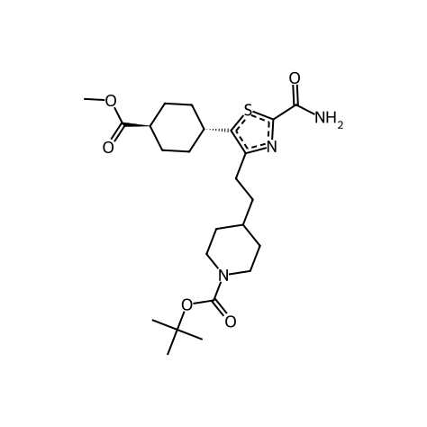 COC(=O)[C@H]1CC[C@H](c2sc(C(N)=O)nc2CCC2CCN(C(=O)OC(C)(C)C)CC2)CC1